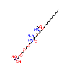 C=P(O)(O)CCOCCOCCOCCNC(=O)[C@@H](N)CSC[C@@H](COCCCCCCCCCCCC)NC(C)=O